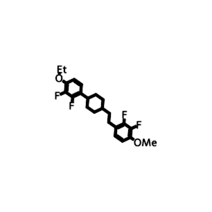 CCOc1ccc(C2CCC(CCc3ccc(OC)c(F)c3F)CC2)c(F)c1F